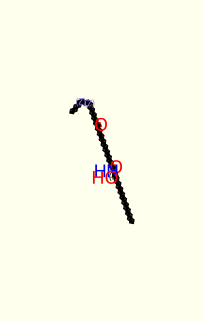 CCCCC/C=C\C/C=C\CCCCCCCC(=O)CCCCCCCCCCCCCCCC(=O)NC[C@@H](O)CCCCCCCCCCCCCCCCCC